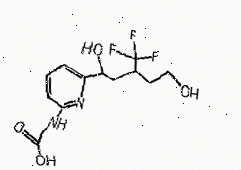 O=C(O)Nc1cccc(C(O)CC(CCO)C(F)(F)F)n1